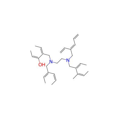 C=C/C=C(\C=C)CN(CCN(CC(=C/C)/C(O)=C\C)CC(/C=C\C)=C/C)CC(=C/C)/C(C)=C\C